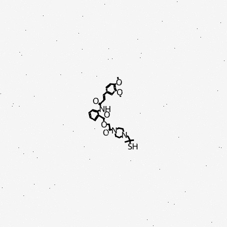 COc1ccc(C=CC(=O)Nc2ccccc2C(=O)OCC(=O)N2CCN(CC(C)(C)S)CC2)cc1OC